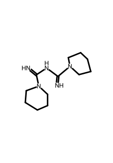 N=C(NC(=N)N1CCCCC1)N1CCCCC1